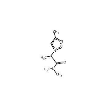 Cc1cn(C(C)C(=O)N(C)C)cn1